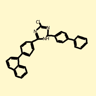 ClC1=NC(c2ccc(-c3ccccc3)cc2)NC(c2ccc(-c3cccc4ccccc34)cc2)=N1